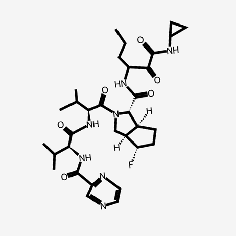 CCCC(NC(=O)[C@@H]1[C@H]2CC[C@H](F)[C@H]2CN1C(=O)[C@@H](NC(=O)[C@@H](NC(=O)c1cnccn1)C(C)C)C(C)C)C(=O)C(=O)NC1CC1